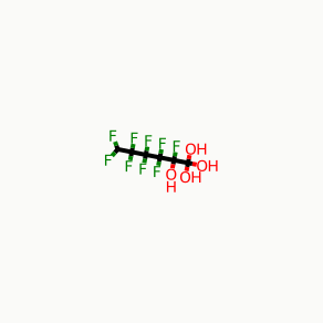 OC(O)(O)C(O)(F)C(F)(F)C(F)(F)C(F)(F)C(F)F